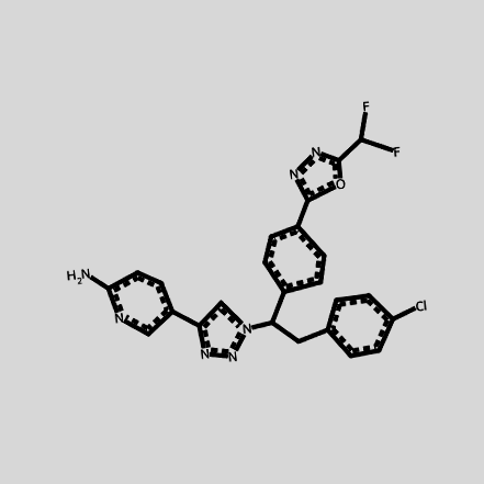 Nc1ccc(-c2cn(C(Cc3ccc(Cl)cc3)c3ccc(-c4nnc(C(F)F)o4)cc3)nn2)cn1